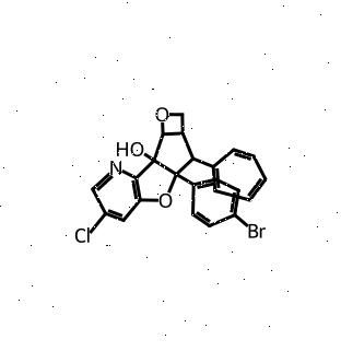 OC12c3ncc(Cl)cc3OC1(c1ccc(Br)cc1)C(c1ccccc1)C1COC12